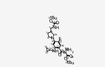 CC(C)(C)OC(=O)NCC1CCN(c2cc(NC3CC3)c(C(=O)N(N)C(=O)OC(C)(C)C)cc2F)C1